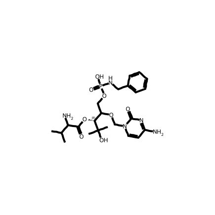 CC(C)C(N)C(=O)O[C@H](C(COP(=O)(O)NCc1ccccc1)OCn1ccc(N)nc1=O)C(C)(C)O